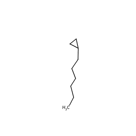 CCCCCCC1CC1